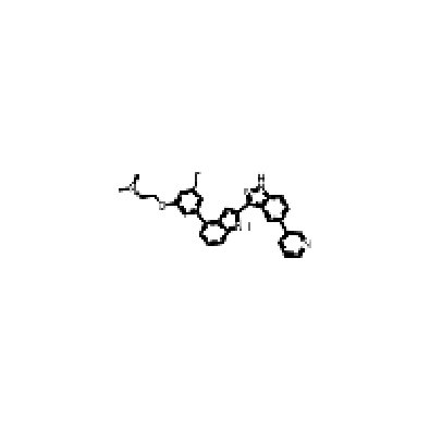 CN(C)CCOc1cc(F)cc(-c2cccc3[nH]c(-c4n[nH]c5ccc(-c6cccnc6)cc45)cc23)c1